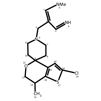 CN/C=C(\C=N)CN1CCC2(CC1)OCC(C)c1sc(Cl)cc12